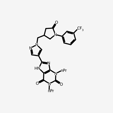 CCCn1c(=O)c2[nH]c(-c3cnn(CC4CC(=O)N(c5cccc(C(F)(F)F)c5)C4)c3)nc2n(CCC)c1=O